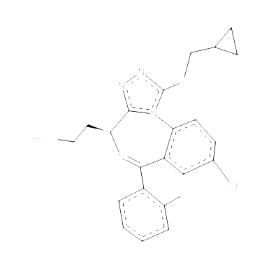 O=C(O)CC[C@@H]1N=C(c2ccccc2Cl)c2cc(Cl)ccc2-n2c(SCC3CC3)nnc21